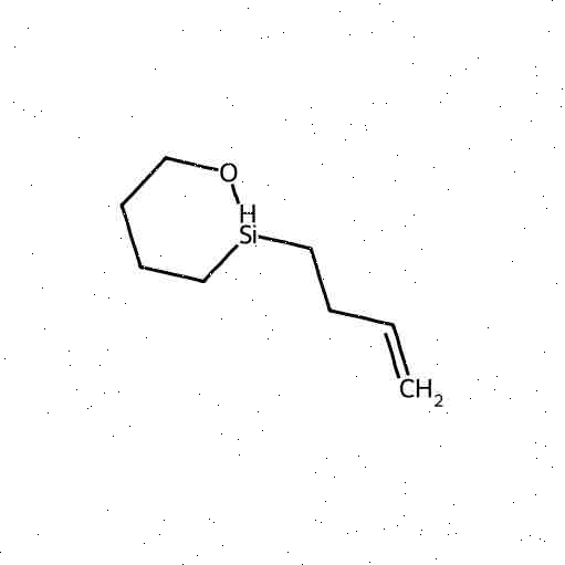 C=CCC[SiH]1CCCCO1